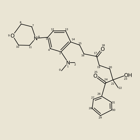 CN(C)c1cc(N2CCOCC2)ccc1CCC(=O)CCC(C)(O)C(=O)c1ccccc1